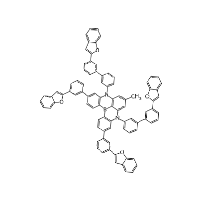 Cc1cc2c3c(c1)N(c1cccc(-c4cccc(-c5cc6ccccc6o5)c4)c1)c1cc(-c4cccc(-c5cc6ccccc6o5)c4)ccc1B3c1ccc(-c3cccc(-c4cc5ccccc5o4)c3)cc1N2c1cccc(-c2cccc(-c3cc4ccccc4o3)c2)c1